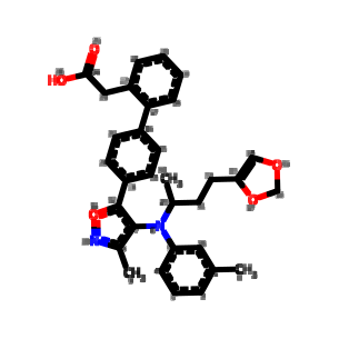 Cc1cccc(N(c2c(C)noc2-c2ccc(-c3ccccc3CC(=O)O)cc2)C(C)CCC2=COCO2)c1